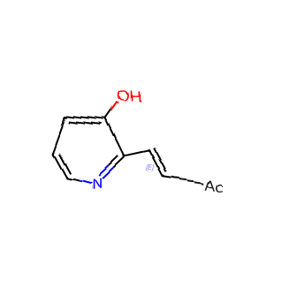 CC(=O)/C=C/c1ncccc1O